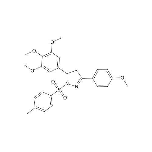 COc1ccc(C2=NN(S(=O)(=O)c3ccc(C)cc3)C(c3cc(OC)c(OC)c(OC)c3)C2)cc1